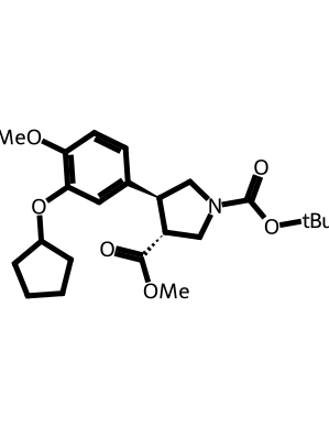 COC(=O)[C@H]1CN(C(=O)OC(C)(C)C)C[C@@H]1c1ccc(OC)c(OC2CCCC2)c1